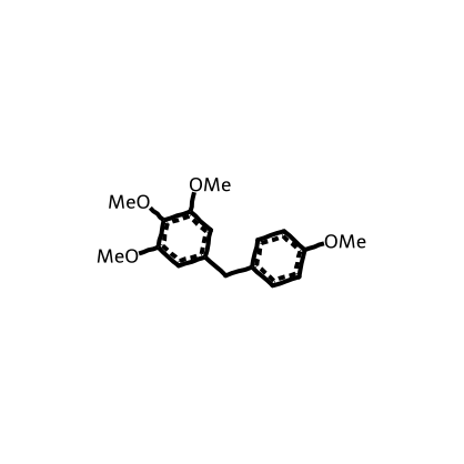 COc1ccc(Cc2cc(OC)c(OC)c(OC)c2)cc1